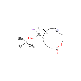 C[C@H]1C/C=C/CCOC(=O)CCC[C@@H]1[C@@H](CI)CO[Si](C)(C)C(C)(C)C